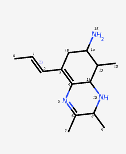 C/C=C/C1=C2N=C(C)C(C)NC2C(C)C(N)C1